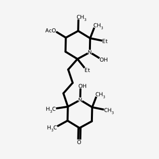 CCC1(CCCC2(C)C(C)C(=O)CC(C)(C)N2O)CC(OC(C)=O)C(C)C(C)(CC)N1O